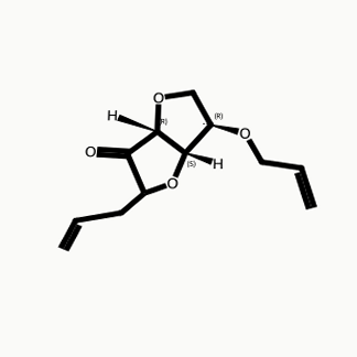 C=CCO[C@@H]1CO[C@H]2C(=O)C(CC=C)O[C@@H]12